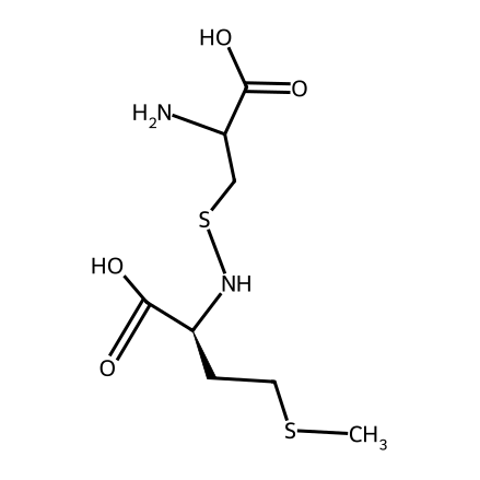 CSCC[C@H](NSCC(N)C(=O)O)C(=O)O